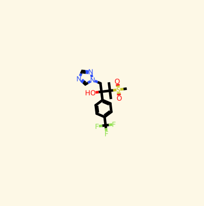 CC(C)(C(O)(Cn1cncn1)c1ccc(C(F)(F)F)cc1)S(C)(=O)=O